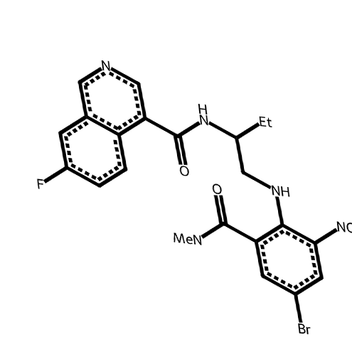 CCC(CNc1c(C(=O)NC)cc(Br)cc1[N+](=O)[O-])NC(=O)c1cncc2cc(F)ccc12